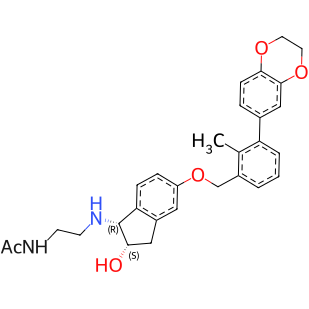 CC(=O)NCCN[C@@H]1c2ccc(OCc3cccc(-c4ccc5c(c4)OCCO5)c3C)cc2C[C@@H]1O